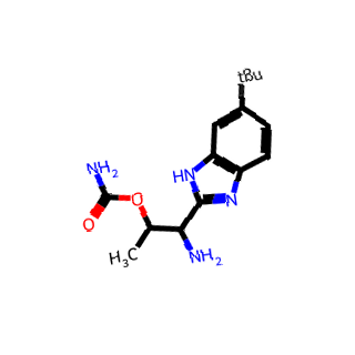 CC(OC(N)=O)C(N)c1nc2ccc(C(C)(C)C)cc2[nH]1